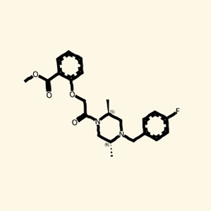 COC(=O)c1ccccc1OCC(=O)N1C[C@@H](C)N(Cc2ccc(F)cc2)C[C@@H]1C